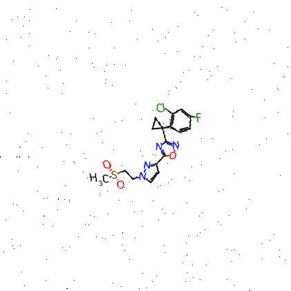 CS(=O)(=O)CCn1ccc(-c2nc(C3(c4ccc(F)cc4Cl)CC3)no2)n1